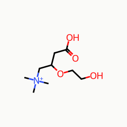 C[N+](C)(C)CC(CC(=O)O)OCCO